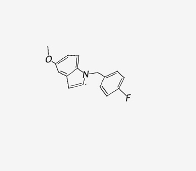 COc1ccc2c(c[c]n2Cc2ccc(F)cc2)c1